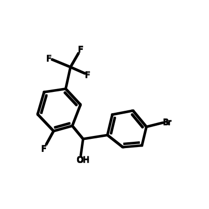 OC(c1ccc(Br)cc1)c1cc(C(F)(F)F)ccc1F